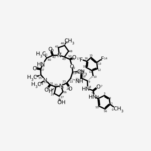 Cc1ccc(NC(=O)N[C@@H](Cc2cc(F)cc(F)c2)C(=O)N[C@@H]2C(=O)N3C[C@H](O)C[C@H]3C(=O)N(C)[C@@H](C)C(=O)N[C@@H](C)C(=O)N3C[C@@H](C)CC3C(=O)O[C@H]2C)cc1